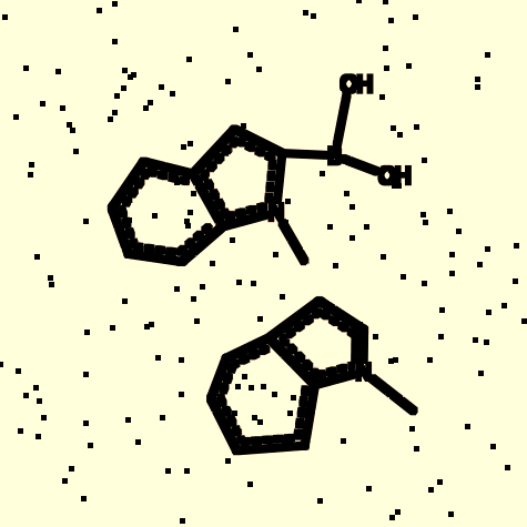 Cn1c(B(O)O)cc2ccccc21.Cn1ccc2ccccc21